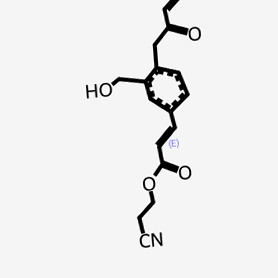 C=CC(=O)Cc1ccc(/C=C/C(=O)OCCC#N)cc1CO